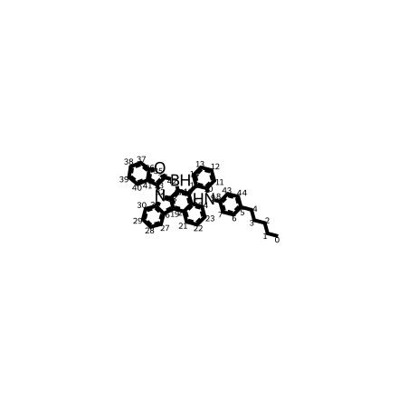 CCCCCc1ccc(Nc2ccccc2-c2c3c4c(c5ccccc25)c2ccccc2n4-c2c(oc4ccccc24)B3)cc1